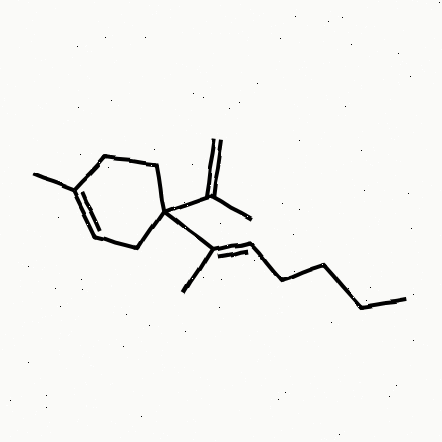 C=C(C)C1(C(C)=CCCCC)CC=C(C)CC1